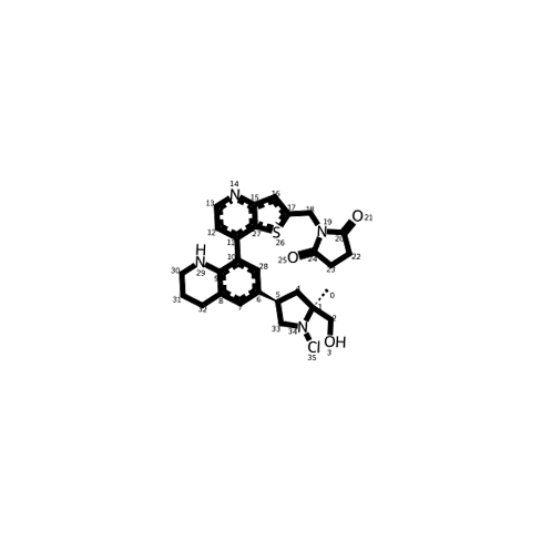 C[C@@]1(CO)C[C@H](c2cc3c(c(-c4ccnc5cc(CN6C(=O)CCC6=O)sc45)c2)NCCC3)CN1Cl